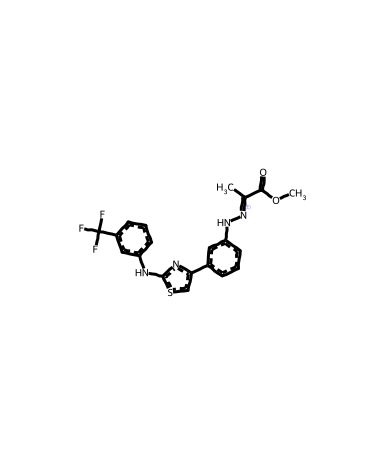 COC(=O)/C(C)=N/Nc1cccc(-c2csc(Nc3cccc(C(F)(F)F)c3)n2)c1